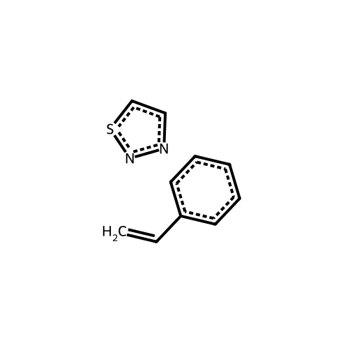 C=Cc1ccccc1.c1csnn1